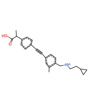 Cc1cc(C#Cc2ccc(C(C)C(=O)O)cc2)ccc1CNCCC1CC1